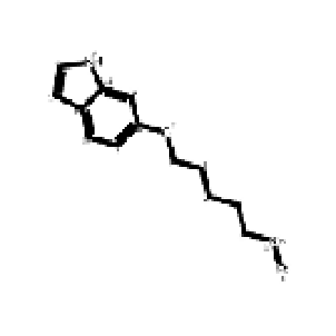 CCNCCCCCOc1ccc2[c]c[nH]c2c1